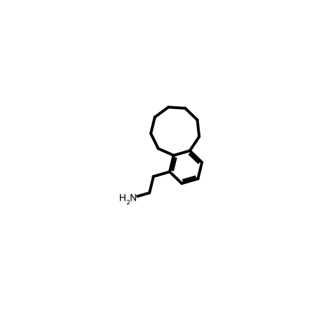 NCCc1cccc2c1CCCCCCC2